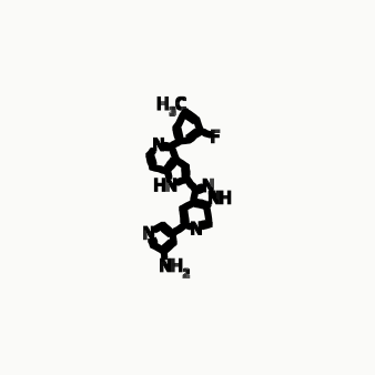 Cc1cc(F)cc(-c2nccc3[nH]c(-c4n[nH]c5cnc(-c6cncc(N)c6)cc45)cc23)c1